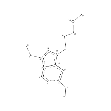 CCc1ccc2c(CC)cn(CCCOC)c2c1